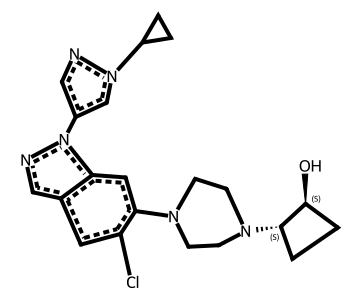 O[C@H]1CC[C@@H]1N1CCN(c2cc3c(cnn3-c3cnn(C4CC4)c3)cc2Cl)CC1